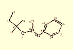 CCC(C)(C)OP(Cl)Oc1ccccc1